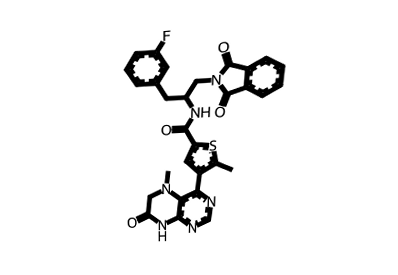 Cc1sc(C(=O)NC(Cc2cccc(F)c2)CN2C(=O)c3ccccc3C2=O)cc1-c1ncnc2c1N(C)CC(=O)N2